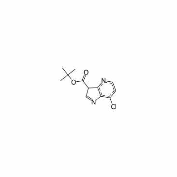 CC(C)(C)OC(=O)C1C=Nc2c(Cl)ccnc21